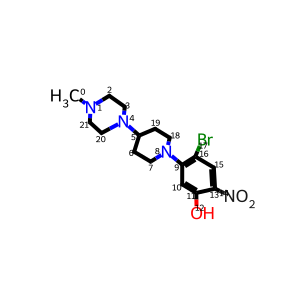 CN1CCN(C2CCN(c3cc(O)c([N+](=O)[O-])cc3Br)CC2)CC1